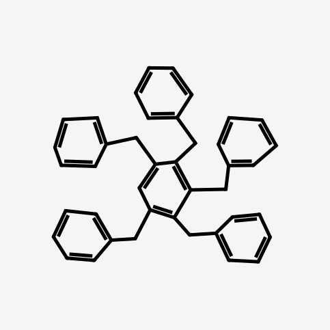 c1ccc(Cc2cc(Cc3ccccc3)c(Cc3ccccc3)c(Cc3ccccc3)c2Cc2ccccc2)cc1